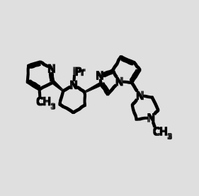 Cc1cccnc1[C@@H]1CCC[C@H](c2cn3c(N4CCN(C)CC4)cccc3n2)N1C(C)C